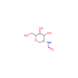 O=CN[C@@H]1COC(CO)[C@@H](O)C1O